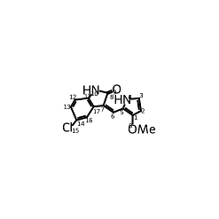 COc1cc[nH]c1C=C1C(=O)Nc2ccc(Cl)cc21